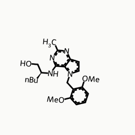 CCCC[C@@H](CO)Nc1nc(C)nc2ccn(Cc3c(OC)cccc3OC)c12